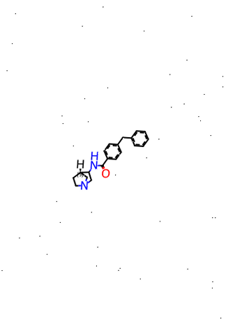 O=C(NC1CN2CC[C@H]1C2)c1ccc(Cc2ccccc2)cc1